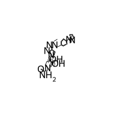 CCN(Cc1ccc(-n2cccn2)cc1)c1ncnc2c1ccn2C[C@]1(O)CCN(CC(N)=O)C[C@H]1O